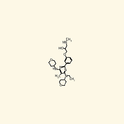 CCN(c1nc(-c2cccc(OCC(O)CNC)c2)nc(NC2CCOCC2)c1C)C1CCOCC1